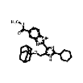 COC(=O)c1ccc2[nH]c(-c3nc(C4CCCCC4)[nH]c3COC34CC5CC(CC(C5)C3)C4)nc2c1